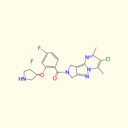 Cc1nc2c3c(nn2c(C)c1Cl)CN(C(=O)c1ccc(F)cc1O[C@H]1CNC[C@@H]1F)C3